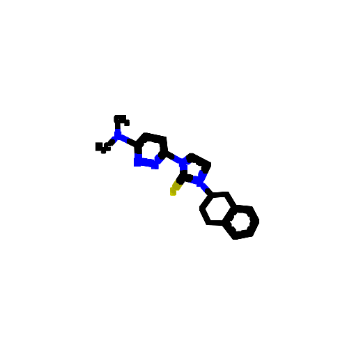 CN(C)c1ccc(-n2ccn(C3CCc4ccccc4C3)c2=S)nn1